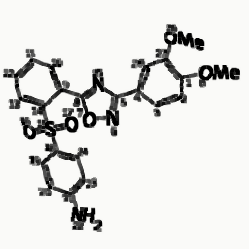 COc1ccc(-c2noc(-c3ccccc3S(=O)(=O)c3ccc(N)cc3)n2)cc1OC